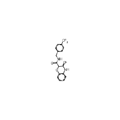 O=C(NCc1ccc(C(F)(F)F)cc1)C1Oc2ccccc2NC1=O